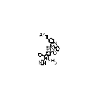 CCn1c(C2(NC(=O)c3ccc4c(C5CCCC5)c(-c5cnccn5)n(C)c4c3)CCCC2)nc2ccc(/C=C/C(C)=O)cc21